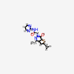 CC(C)c1nn(CC(=O)Nc2ncccn2)c(=O)c2sc(C3CC3)cc12